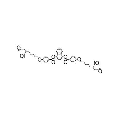 O=C(Oc1ccc(OC(=O)c2ccc(OCCCCCC(CC3CO3)C3CO3)cc2)c2ccccc12)c1ccc(OCCCCCC(CC2CO2)C2CO2)cc1